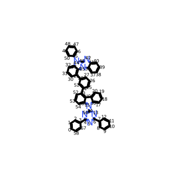 c1ccc(-c2nc(-c3ccccc3)nc(-n3c4ccccc4c4c(-c5cccc(-c6cccc7c6n6c8ccccc8nc6n7-c6ccccc6)c5)cccc43)n2)cc1